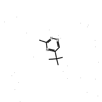 Cc1nncc(C(C)(C)C)n1